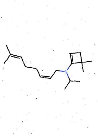 CC(C)=CCC/C=C\CN(C1=CCC1(C)C)C(C)C